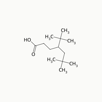 CC(C)(C)CC(CCC(=O)O)C(C)(C)C